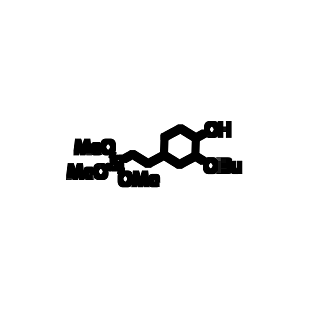 CO[Si](CCC1CCC(O)C(OCC(C)C)C1)(OC)OC